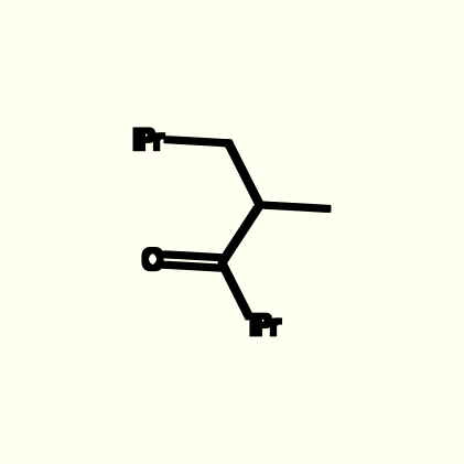 CC(C)CC(C)C(=O)C(C)C